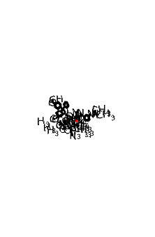 COc1ccc(C(OC[C@H]2O[C@@H](n3cnc4c(-c5cccc(N=CN(C)C)c5)ncnc43)[C@H](O[Si](C)(C)C(C)(C)C)[C@@H]2OP(OCCC#N)N(C(C)C)C(C)C)(c2ccccc2)c2ccc(OC)cc2)cc1